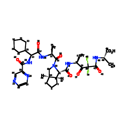 CCC[C@H](NC(=O)[C@@H]1[C@H]2CCC[C@H]2CN1C(=O)[C@@H](NC(=O)[C@@H](NC(=O)c1cnccn1)C1CCCCC1)C(C)C)C(=O)C(F)(F)C(=O)N[C@@H](C)C(=O)O